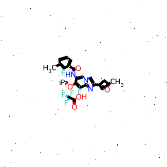 Cc1cccc(C(=O)Nc2cn3cc(C45COC(C)(C4)C5)nc3c(F)c2OC(C)C)c1F.O=C(O)C(F)(F)F